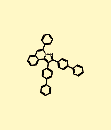 c1ccc(-c2ccc(-c3nn4c(-c5ccccc5)cc5ccccc5c4c3-c3ccc(-c4ccccc4)cc3)cc2)cc1